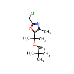 Cc1nc(CCl)oc1C(C)(C)O[SiH2]C(C)(C)C